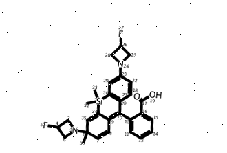 CC1(N2CC(F)C2)C=CC2=C(c3ccccc3C(=O)O)c3ccc(N4CC(F)C4)cc3[Si](C)(C)C2=C1